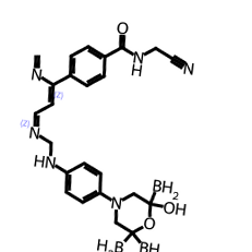 BC1(B)CN(c2ccc(NC/N=C\C=C(/N=C)c3ccc(C(=O)NCC#N)cc3)cc2)CC(B)(O)O1